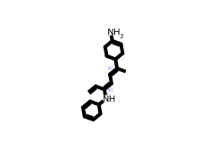 C=C/C(=C\C=C(/C)C1CC=C(N)CC1)NC1C=CC=CC1